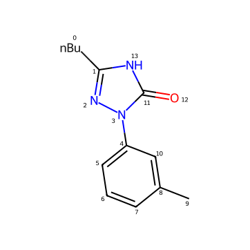 CCCCc1nn(-c2cccc(C)c2)c(=O)[nH]1